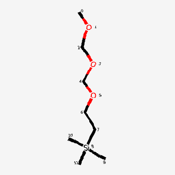 COCOCOCC[Si](C)(C)C